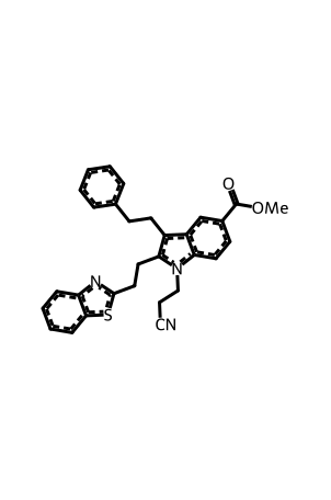 COC(=O)c1ccc2c(c1)c(CCc1ccccc1)c(CCc1nc3ccccc3s1)n2CCC#N